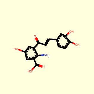 Nc1c(C(=O)O)cc(O)cc1C(=O)C=Cc1ccc(O)c(O)c1